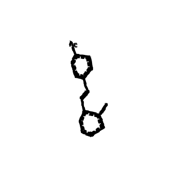 CC(=O)c1ccc(C=Cc2ccccc2C)cc1